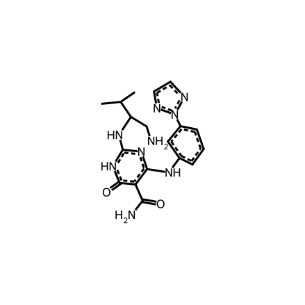 CC(C)C(CN)Nc1nc(Nc2cccc(-n3nccn3)c2)c(C(N)=O)c(=O)[nH]1